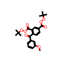 COc1cccc(C(=O)c2ccc(C(=O)OOC(C)(C)C)cc2C(=O)OOC(C)(C)C)c1